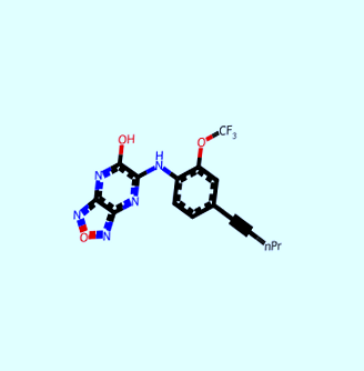 CCCC#Cc1ccc(Nc2nc3nonc3nc2O)c(OC(F)(F)F)c1